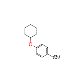 CC(C)(C)c1ccc(OC2CCCCC2)cc1